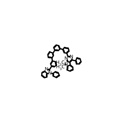 C[Si]1(C)c2ccccc2-c2c(-c3ccccc3)nc(-c3cccc(-c4cccc(-c5cccc(-c6cccc(-c7nc8ccccc8n7-c7ccccc7)c6)c5)c4)c3)nc21